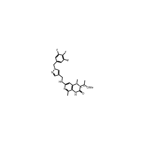 CO[C@H](C)[C@H]1C(=O)Nc2c(cc(NCc3cnn(Cc4cc(F)c(F)c(F)c4)c3)nc2C)N1C